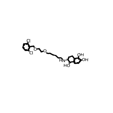 Oc1ccc2c(c1O)CC[C@@H](NCCCCCCOCCOCc1c(Cl)cccc1Cl)[C@@H]2O